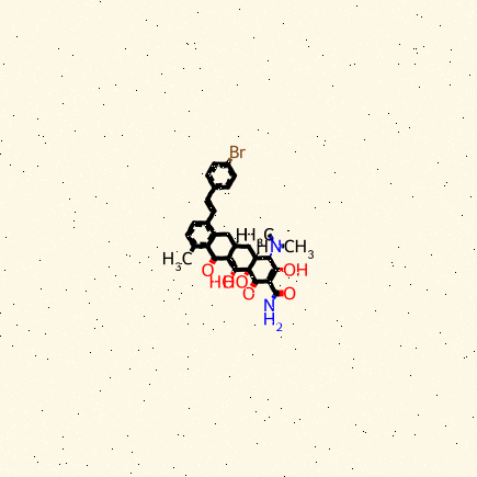 Cc1ccc(/C=C/c2ccc(Br)cc2)c2c1C(=O)C1=C(O)C3(O)C(=O)C(C(N)=O)=C(O)[C@@H](N(C)C)[C@@H]3C[C@@H]1C2